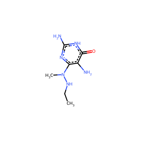 CCNN(C)c1nc(N)[nH]c(=O)c1N